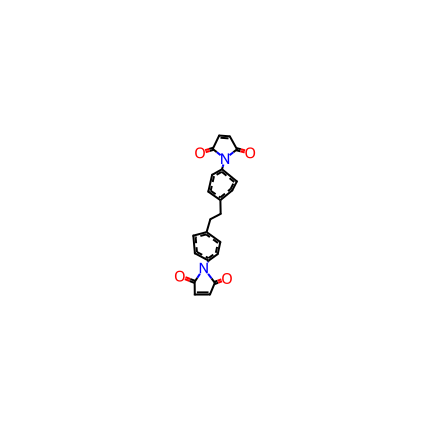 O=C1C=CC(=O)N1c1ccc(CCc2ccc(N3C(=O)C=CC3=O)cc2)cc1